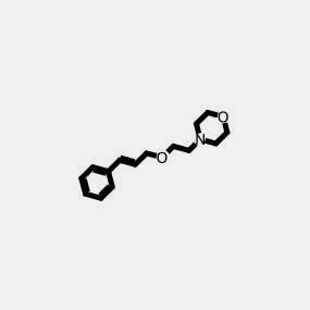 C(=Cc1ccccc1)COCCN1CCOCC1